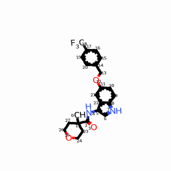 CC1(C(=O)Nc2c[nH]c3ccc(OCc4ccc(C(F)(F)F)cc4)cc23)CCOCC1